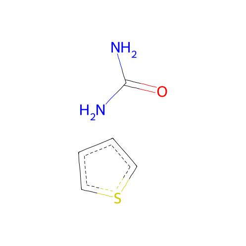 NC(N)=O.c1ccsc1